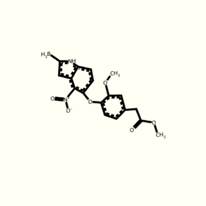 Bc1cc2c([N+](=O)[O-])c(Oc3ccc(CC(=O)OC)cc3OC)ccc2[nH]1